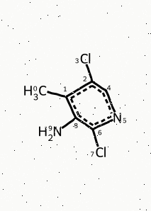 Cc1c(Cl)cnc(Cl)c1N